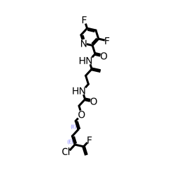 C=C(CCNC(=O)CO/C=C/C=C(/Cl)C(=C)F)NC(=O)c1ncc(F)cc1F